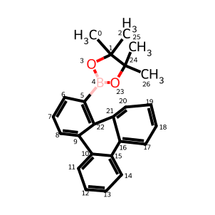 CC1(C)OB(c2cccc3c4ccccc4c4ccccc4c23)OC1(C)C